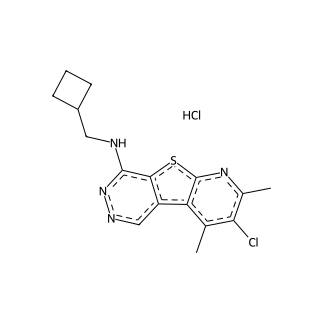 Cc1nc2sc3c(NCC4CCC4)nncc3c2c(C)c1Cl.Cl